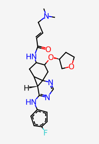 CN(C)C/C=C/C(=O)NC1CC2[C@H]3C(Nc4ccc(F)cc4)=NC=NC23CC1O[C@H]1CCOC1